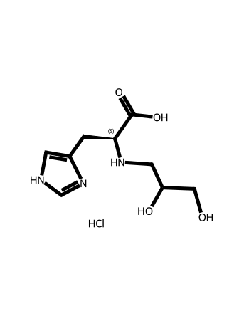 Cl.O=C(O)[C@H](Cc1c[nH]cn1)NCC(O)CO